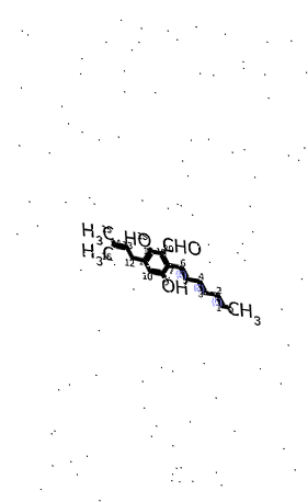 C/C=C/C=C/C=C/c1c(O)cc(CC=C(C)C)c(O)c1C=O